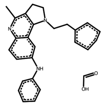 Cc1nc2ccc(Nc3ccccc3)cc2c2c1CCN2CCc1ccccc1.O=CO